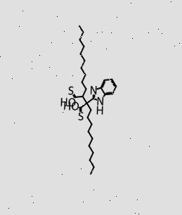 CCCCCCCCCCC(C(O)=S)C(CCCCCCCCCC)(C(O)=S)c1nc2ccccc2[nH]1